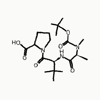 C[C@@H](C(=O)N[C@H](C(=O)N1CCCC1C(=O)O)C(C)(C)C)N(C)C(=O)OC(C)(C)C